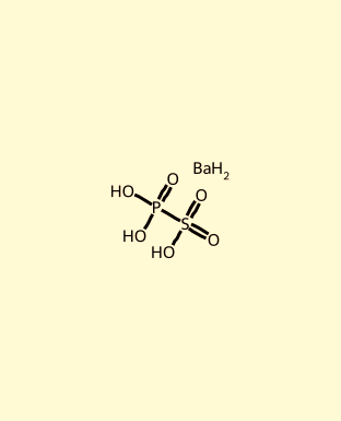 O=P(O)(O)S(=O)(=O)O.[BaH2]